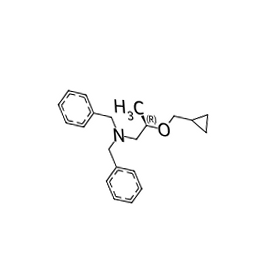 C[C@H](CN(Cc1ccccc1)Cc1ccccc1)OCC1CC1